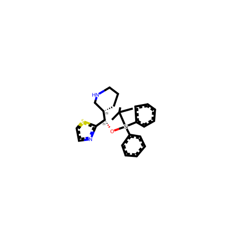 CC(C)(C)[Si](O[C@H](c1nccs1)[C@H]1CCCNC1)(c1ccccc1)c1ccccc1